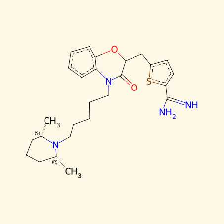 C[C@@H]1CCC[C@H](C)N1CCCCCN1C(=O)C(Cc2ccc(C(=N)N)s2)Oc2ccccc21